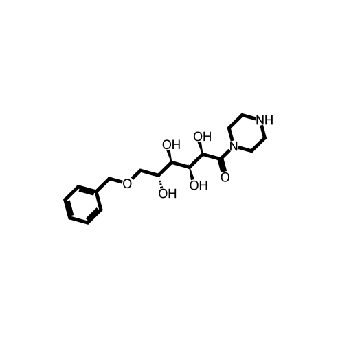 O=C([C@H](O)[C@@H](O)[C@H](O)[C@H](O)COCc1ccccc1)N1CCNCC1